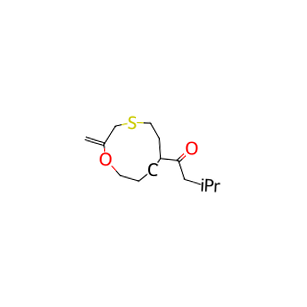 C=C1CSCCC(C(=O)CC(C)C)CCCO1